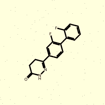 O=C1CCC(c2ccc(-c3ccccc3F)c(F)c2)=NN1